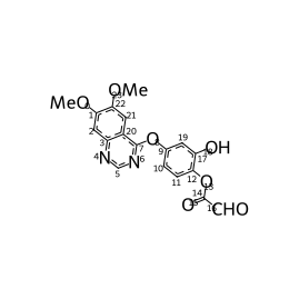 COc1cc2ncnc(Oc3ccc(OC(=O)C=O)c(O)c3)c2cc1OC